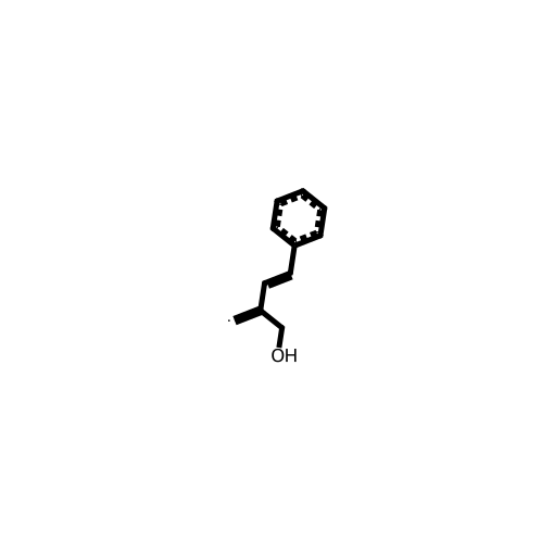 [CH]=C(C=Cc1ccccc1)CO